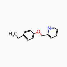 CCc1ccc(OCc2ccccn2)cc1